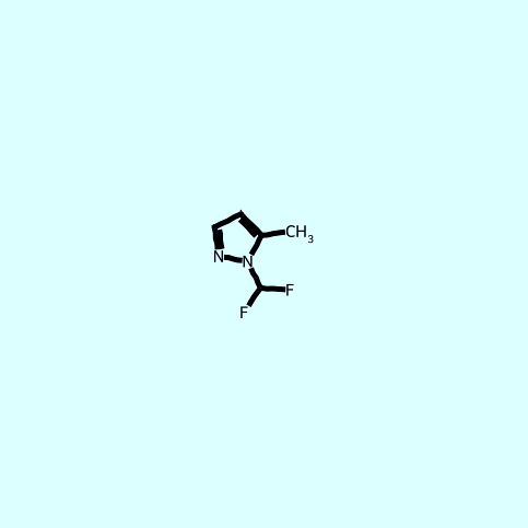 Cc1[c]cnn1C(F)F